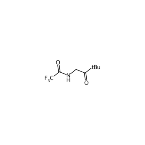 CC(C)(C)C(=O)CNC(=O)C(F)(F)F